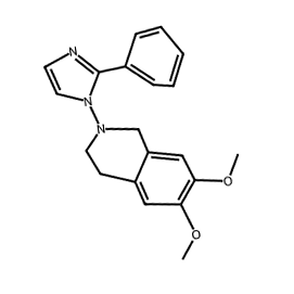 COc1cc2c(cc1OC)CN(n1ccnc1-c1ccccc1)CC2